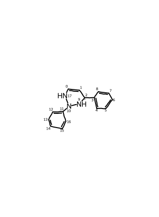 C1=C[C](c2ccccc2)NN(c2ccccc2)N1